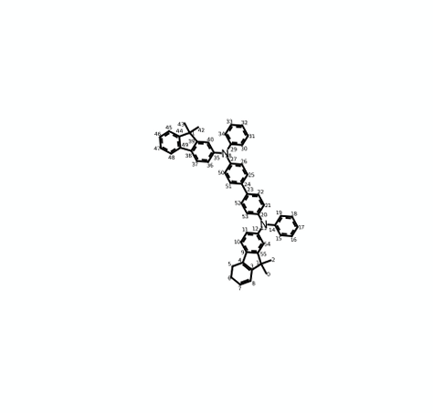 CC1(C)C2=C(CCC=C2)c2ccc(N(c3ccccc3)c3ccc(-c4ccc(N(c5ccccc5)c5ccc6c(c5)C(C)(C)c5ccccc5-6)cc4)cc3)cc21